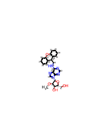 CO[C@@H]1[C@H](O)[C@@H](CO)O[C@H]1n1cnc2c(NCC3c4ccccc4Oc4ccccc43)ncnc21